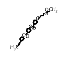 C=CC(=O)OCCCCOc1ccc(C(=O)Oc2ccc(C(=O)Oc3ccc(C#CC)cc3)cc2)cc1